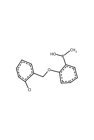 CB(O)c1ccccc1OCc1ccccc1Cl